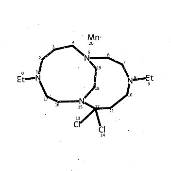 CCN1CCCN2CCN(CC)CCC(Cl)(Cl)N(CC1)CC2.[Mn]